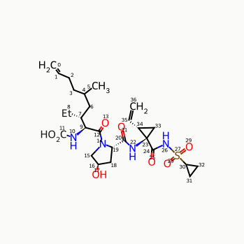 C=CCCC(C)C[C@@H](CC)[C@H](NC(=O)O)C(=O)N1C[C@H](O)C[C@H]1C(=O)N[C@]1(C(=O)NS(=O)(=O)C2CC2)C[C@H]1C=C